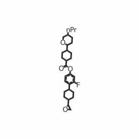 CCCC1CCC(C2CCC(C(=O)Oc3ccc(C4CCC(C5CO5)CC4)c(F)c3)CC2)OC1